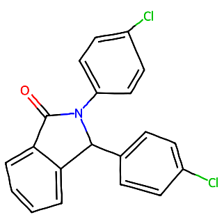 O=C1c2ccccc2C(c2ccc(Cl)cc2)N1c1ccc(Cl)cc1